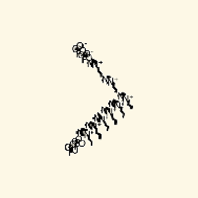 CCCC[n+]1ccn(C)c1.CCCC[n+]1ccn(C)c1.CCCC[n+]1ccn(C)c1.CCCC[n+]1ccn(C)c1.CCCC[n+]1ccn(C)c1.CCCC[n+]1ccn(C)c1.CCCC[n+]1ccn(C)c1.CCCC[n+]1ccn(C)c1.O=P([O-])([O-])F.O=P([O-])([O-])F.O=P([O-])([O-])F.O=P([O-])([O-])F